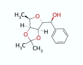 C[C@H]1O[C@H]([C@@H](O)c2ccccc2)[C@H]2OC(C)(C)O[C@H]21